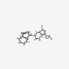 Cn1cc(I)c2cc(-c3nnc4ccccn34)ccc21